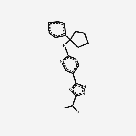 FC(F)c1nnc(-c2cnc(NC3(c4cccnc4)CCCC3)nc2)o1